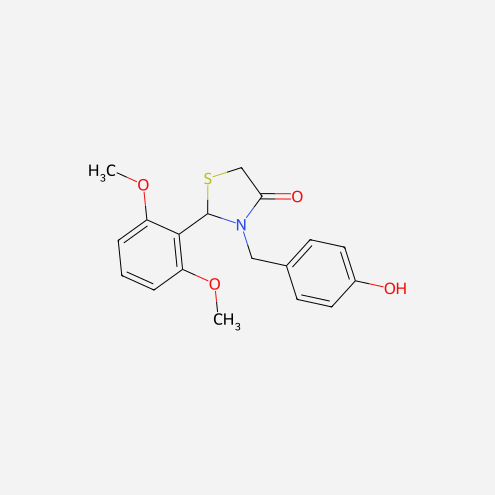 COc1cccc(OC)c1C1SCC(=O)N1Cc1ccc(O)cc1